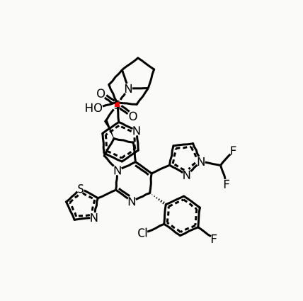 O=S(=O)(C[C@H]1CC2=C(c3ccn(C(F)F)n3)[C@H](c3ccc(F)cc3Cl)N=C(c3nccs3)N2C1)N1C2CCC1CC(O)(c1ccccn1)C2